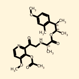 COc1ccc([C@@H](C)[C@@H](C)OC(=O)[C@H](C)NCC(=O)c2nccc(OC)c2OC(C)=O)c(C)c1